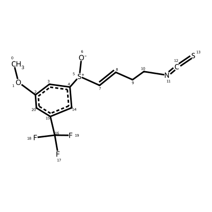 COc1cc([S+]([O-])/C=C/CCN=C=S)cc(C(F)(F)F)c1